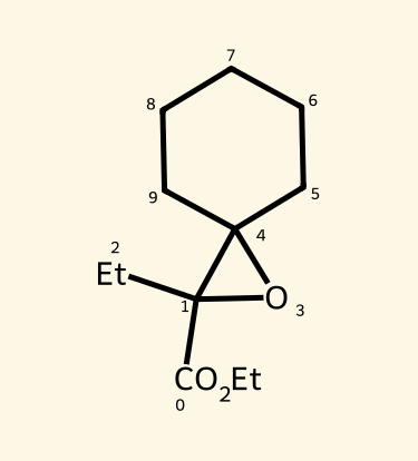 CCOC(=O)C1(CC)OC12CCCCC2